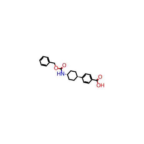 O=C(N[C@H]1CC[C@H](c2ccc(C(=O)O)cc2)CC1)OCc1ccccc1